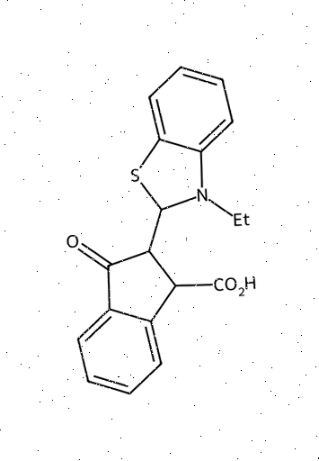 CCN1c2ccccc2SC1C1C(=O)c2ccccc2C1C(=O)O